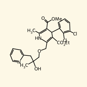 CCOC(=O)C1=C(COCC(C)(O)Cc2ccccn2)NC(C)=C(C(=O)OC)C1c1cccc(Cl)c1Cl